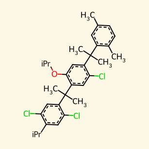 Cc1ccc(C)c(C(C)(C)c2cc(OC(C)C)c(C(C)(C)c3cc(Cl)c(C(C)C)cc3Cl)cc2Cl)c1